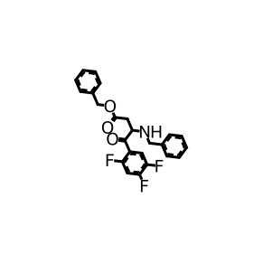 O=C(CC(NCc1ccccc1)C(=O)c1cc(F)c(F)cc1F)OCc1ccccc1